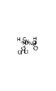 Cc1nc(NC[C@H](O)c2ccccc2)cc(-c2ccc(Cl)c(Cl)c2)n1